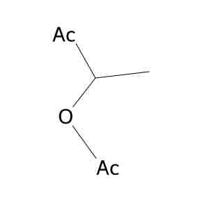 CC(=O)OC(C)C(C)=O